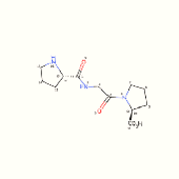 O=C(NCC(=O)N1CCC[C@H]1C(=O)O)[C@@H]1CCCN1